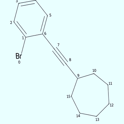 Brc1ccccc1C#CC1CCCCCC1